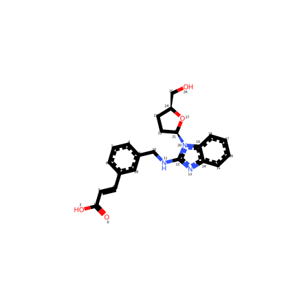 O=C(O)/C=C/c1cccc(CNc2nc3ccccc3n2[C@H]2CC[C@@H](CO)O2)c1